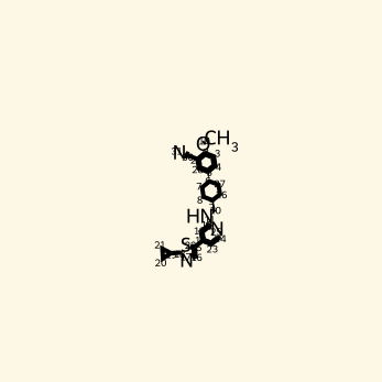 COc1ccc([C@H]2CC[C@H](CNc3cc(-c4cnc(C5CC5)s4)ccn3)CC2)cc1C#N